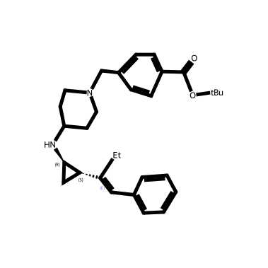 CC/C(=C\c1ccccc1)[C@@H]1C[C@H]1NC1CCN(Cc2ccc(C(=O)OC(C)(C)C)cc2)CC1